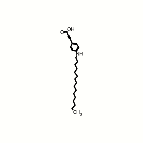 CCCCCCCCCCCCCCCCNc1ccc(C#CC(=O)O)cc1